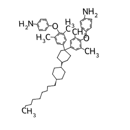 CCCCCCCCC[C@H]1CC[C@@H](C2CCC(c3cc(C)c(Oc4ccc(N)cc4)c(C)c3)(c3cc(C)c(Oc4ccc(N)cc4)c(C)c3)CC2)CC1